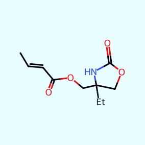 CC=CC(=O)OCC1(CC)COC(=O)N1